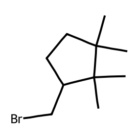 CC1(C)CCC(CBr)C1(C)C